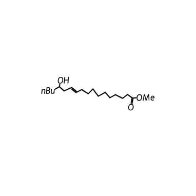 CCCCC(O)CC=CCCCCCCCCCC(=O)OC